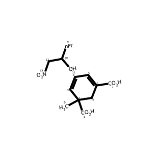 CC1(C(=O)O)C=CC=C(C(=O)O)C1.CCCC(O)C[N+](=O)[O-]